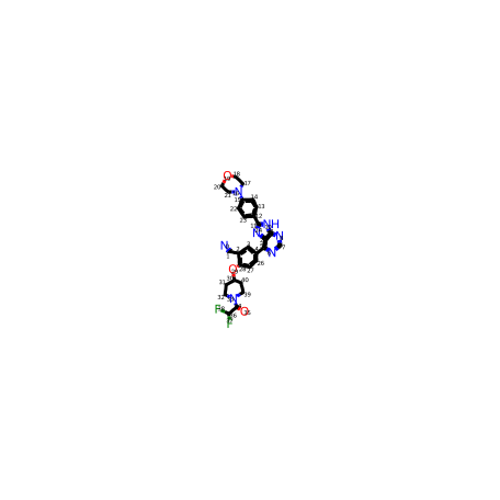 N#Cc1cc(-c2ncnc3[nH]c(-c4ccc(N5CCOCC5)cc4)nc23)ccc1OC1CCN(C(=O)C(F)F)CC1